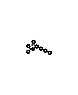 C1=C(c2cc(-c3ccc(-c4ccc(-c5ccccc5)cc4)cc3)ccc2Nc2ccccc2)CC(N(c2ccccc2)c2ccccc2)=C1